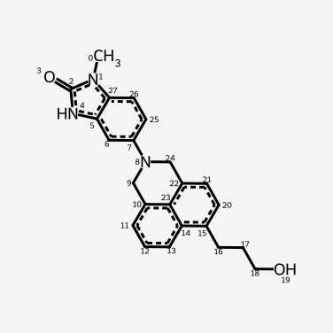 Cn1c(=O)[nH]c2cc(N3Cc4cccc5c(CCCO)ccc(c45)C3)ccc21